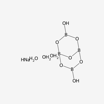 O.O.O.OB1OB2OB(O)OB(O1)O2.[NaH]